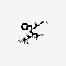 CCOC(=O)CN(Cc1ccccc1)C(=O)C(CC(=O)O)NC(=O)OC(C)(C)C